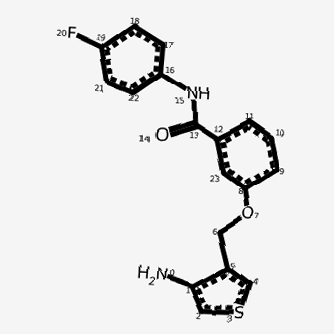 Nc1cscc1COc1cccc(C(=O)Nc2ccc(F)cc2)c1